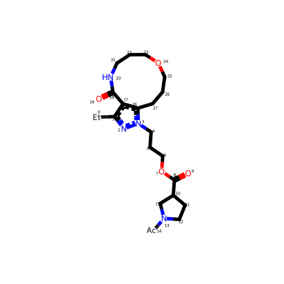 CCc1nn(CCCOC(=O)C2CCN(C(C)=O)C2)c2c1C(=O)NCCCOCCC2